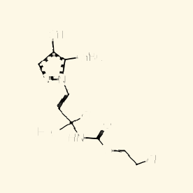 Cc1cnn(/C=C/C(C)(C)NC(=O)OCCCl)c1OCC(C)C